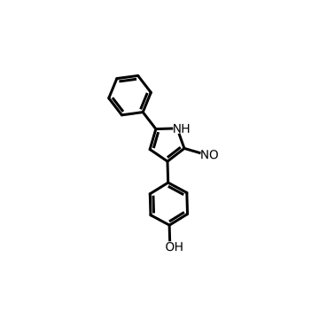 O=Nc1[nH]c(-c2ccccc2)cc1-c1ccc(O)cc1